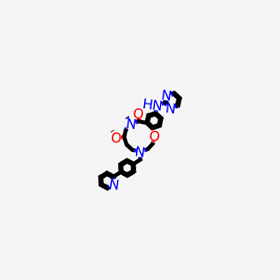 COC1CCN(Cc2ccc(-c3ccccn3)cc2)CCOc2ccc(Nc3ncccn3)cc2C(=O)N(C)C1